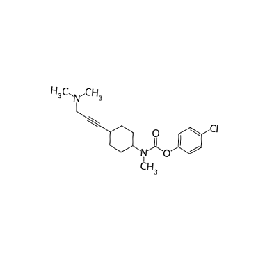 CN(C)CC#CC1CCC(N(C)C(=O)Oc2ccc(Cl)cc2)CC1